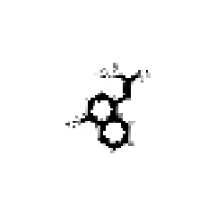 N#CC(=Cc1ccc(O)c2ccccc12)C(=O)O